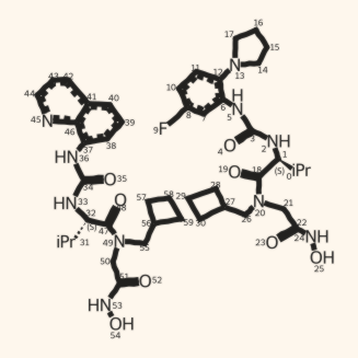 CC(C)[C@H](NC(=O)Nc1cc(F)ccc1N1CCCC1)C(=O)N(CC(=O)NO)CC1CCC1.CC(C)[C@H](NC(=O)Nc1cccc2cccnc12)C(=O)N(CC(=O)NO)CC1CCC1